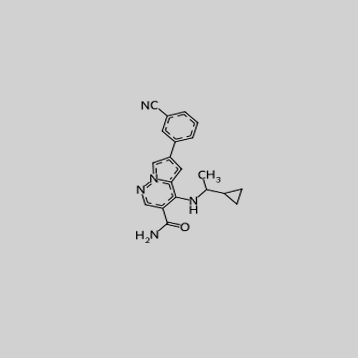 CC(Nc1c(C(N)=O)cnn2cc(-c3cccc(C#N)c3)cc12)C1CC1